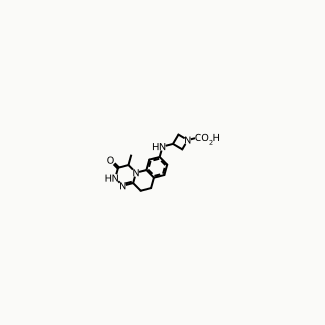 CC1C(=O)NN=C2CCc3ccc(NC4CN(C(=O)O)C4)cc3N21